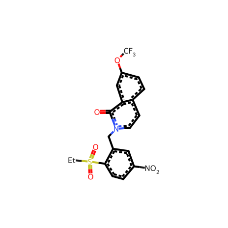 CCS(=O)(=O)c1ccc([N+](=O)[O-])cc1Cn1ccc2ccc(OC(F)(F)F)cc2c1=O